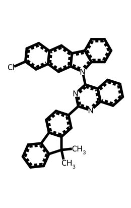 CC1(C)c2ccccc2-c2ccc(-c3nc(-n4c5ccccc5c5cc6ccc(Cl)cc6cc54)c4ccccc4n3)cc21